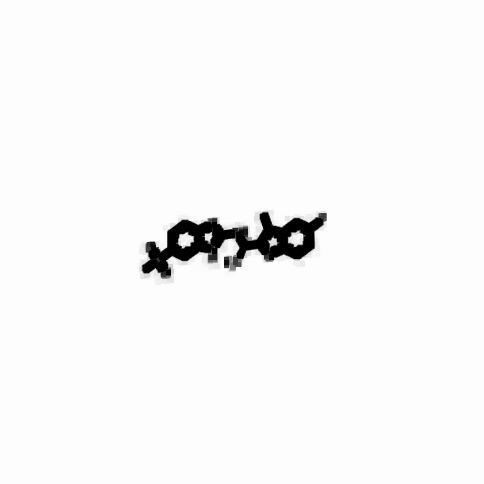 Cc1c([C@H](Nc2nc3ccc(S(C)(=O)=O)cc3[nH]2)C(F)(F)F)oc2ccc(F)cc12